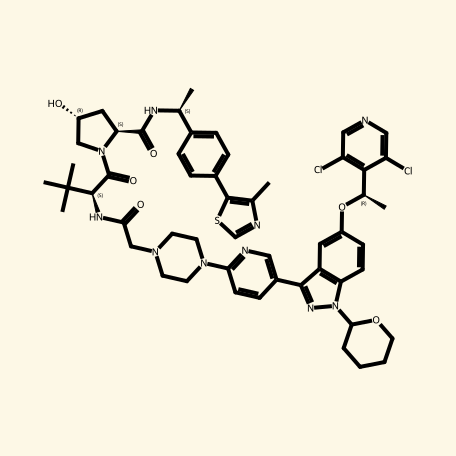 Cc1ncsc1-c1ccc([C@H](C)NC(=O)[C@@H]2C[C@@H](O)CN2C(=O)[C@@H](NC(=O)CN2CCN(c3ccc(-c4nn(C5CCCCO5)c5ccc(O[C@H](C)c6c(Cl)cncc6Cl)cc45)cn3)CC2)C(C)(C)C)cc1